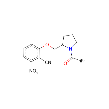 CC(C)C(=O)N1CCCC1COc1cccc([N+](=O)[O-])c1C#N